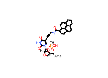 COC[C@@]12CO[C@H](C1OP(C)(=O)O)[C@H](n1cc(C#CCNC(=O)c3ccc4ccc5cccc6ccc3c4c56)c(=O)[nH]c1=O)O2